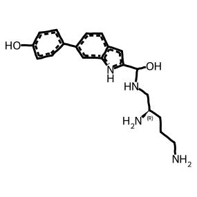 NCCC[C@@H](N)CNC(O)c1cc2ccc(-c3ccc(O)cc3)cc2[nH]1